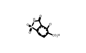 O=C(O)c1ccc2c(c1Cl)C(=O)NS2(=O)=O